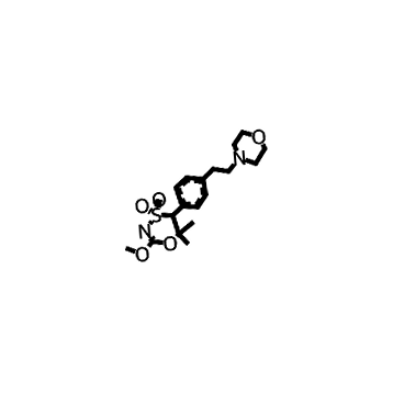 COC1=NS(=O)(=O)C(c2ccc(CCN3CCOCC3)cc2)C(C)(C)O1